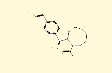 C/C=C/c1ccc(C2=NN=C(C)C3CCCCCCC23)cc1